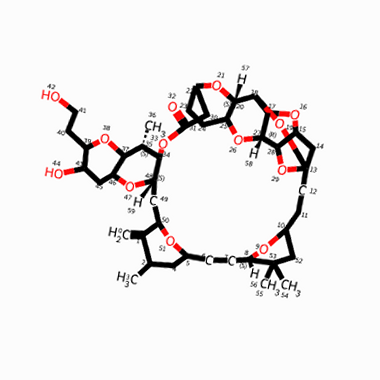 C=C1C(C)CC2CC[C@@H]3OC(CCC45CC6OC7C(O4)[C@H]4OC(CCC4O[C@H]7C6O5)CC(=O)OC4[C@@H](C)C5OC(CCO)C(O)CC5O[C@H]4CC1O2)CC3(C)C